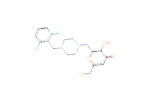 O=c1cc(CCl)oc(CN2CCN(Cc3c(Cl)cccc3Cl)CC2)c1O